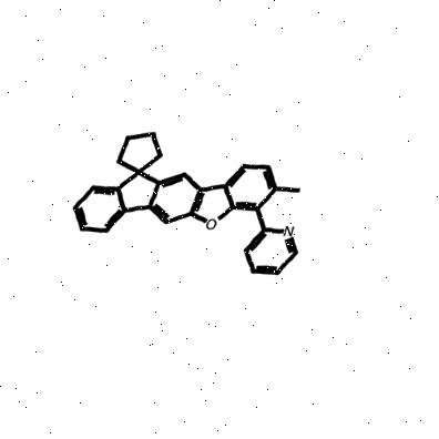 Cc1ccc2c(oc3cc4c(cc32)C2(CCCC2)c2ccccc2-4)c1-c1ccccn1